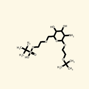 CC(C)(C)OCCOC1OC(COCCOP(=O)(O)C(C)(C)C)C(O)C(O)C1N